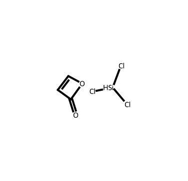 Cl[SiH](Cl)Cl.O=C1C=CO1